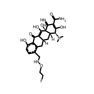 CN(C)[C@@H]1C(O)=C(C(N)=O)C(=N)[C@@]2(O)C(O)=C3C(=O)c4c(O)ccc(CNOCCF)c4C[C@H]3C[C@@H]12